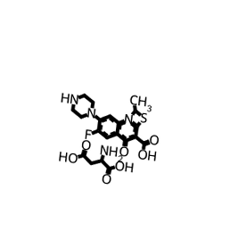 CC1Sc2c(C(=O)O)c(=O)c3cc(F)c(N4CCNCC4)cc3n21.NC(CC(=O)O)C(=O)O